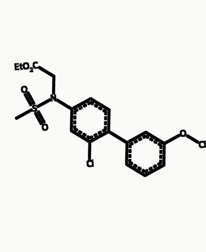 CCOC(=O)CN(c1ccc(-c2cccc(OC(F)(F)F)c2)c(Cl)c1)S(C)(=O)=O